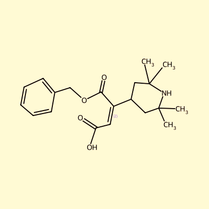 CC1(C)CC(/C(=C/C(=O)O)C(=O)OCc2ccccc2)CC(C)(C)N1